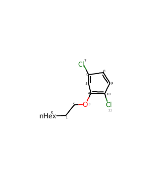 [CH2]CCCCCCCOc1cc(Cl)ccc1Cl